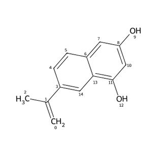 C=C(C)c1ccc2cc(O)cc(O)c2c1